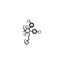 CC1(CC(=O)O)CC(c2cccc(Cl)c2)C(c2ccc(Cl)cc2)N(CCCC2CCCO2)C1=O